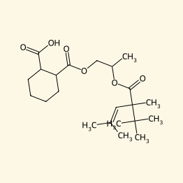 CC(C)=CC(C)(C(=O)OC(C)COC(=O)C1CCCCC1C(=O)O)C(C)(C)C